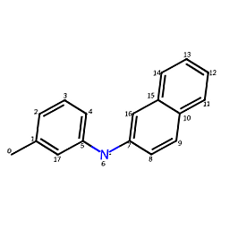 Cc1cccc([N]c2ccc3ccccc3c2)c1